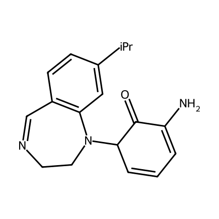 CC(C)c1ccc2c(c1)N(C1C=CC=C(N)C1=O)CCN=C2